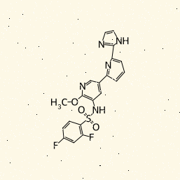 COc1ncc(-c2cccc(-c3ncc[nH]3)n2)cc1NS(=O)(=O)c1ccc(F)cc1F